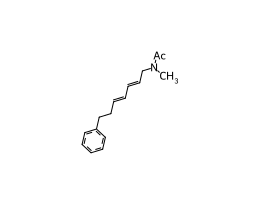 CC(=O)N(C)C/C=C/C=C/CCc1ccccc1